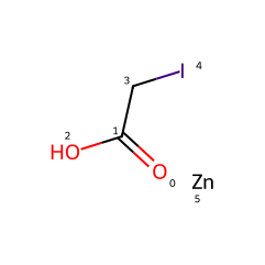 O=C(O)CI.[Zn]